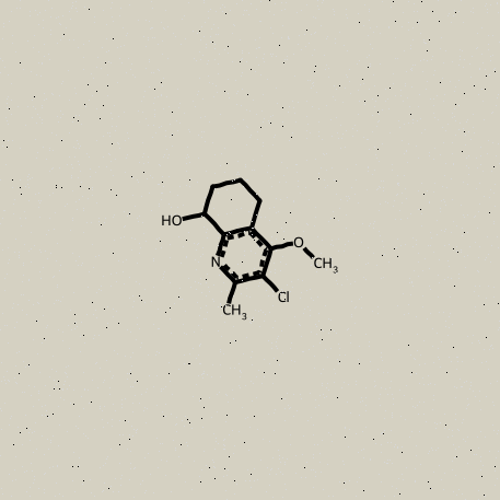 COc1c(Cl)c(C)nc2c1CCCC2O